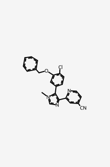 Cn1cnc(-c2cc(C#N)ccn2)c1-c1ccc(Cl)c(OCc2ccccc2)c1